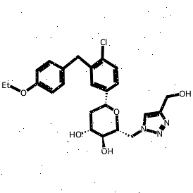 CCOc1ccc(Cc2cc([C@H]3C[C@@H](O)[C@H](O)[C@@H](Cn4cc(CO)nn4)O3)ccc2Cl)cc1